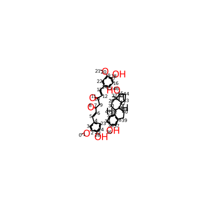 COc1cc(/C=C/C(=O)CC(=O)/C=C/c2ccc(O)c(OC)c2)ccc1O.C[C@]12CC[C@@H]3c4ccc(O)cc4CC[C@H]3[C@@H]1CC[C@@H]2O